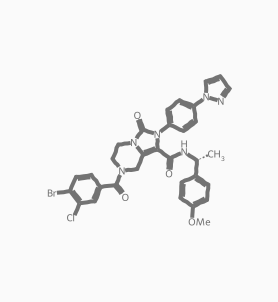 COc1ccc([C@@H](C)NC(=O)c2c3n(c(=O)n2-c2ccc(-n4cccn4)cc2)CCN(C(=O)c2ccc(Br)c(Cl)c2)C3)cc1